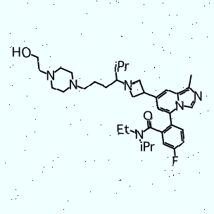 CCN(C(=O)c1cc(F)ccc1-c1cc(C2CN(C(CCCN3CCN(CCO)CC3)C(C)C)C2)cc2c(C)ncn12)C(C)C